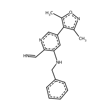 Cc1noc(C)c1-c1cnc(C=N)c(NCc2ccccc2)c1